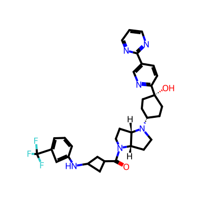 O=C(C1CC(Nc2cccc(C(F)(F)F)c2)C1)N1CC[C@H]2[C@@H]1CCN2[C@H]1CC[C@](O)(c2ccc(-c3ncccn3)cn2)CC1